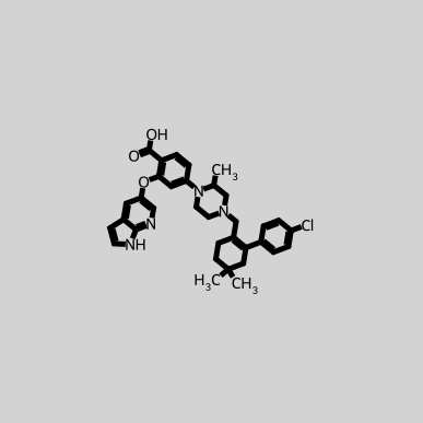 CC1CN(CC2=C(c3ccc(Cl)cc3)CC(C)(C)CC2)CCN1c1ccc(C(=O)O)c(Oc2cnc3[nH]ccc3c2)c1